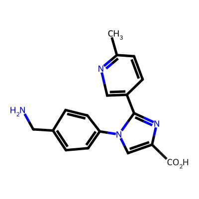 Cc1ccc(-c2nc(C(=O)O)cn2-c2ccc(CN)cc2)cn1